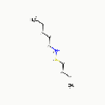 CCCCCNSCCCC